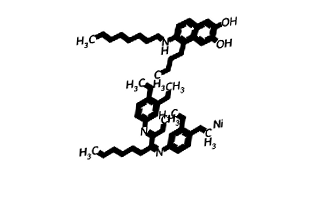 CCCCCCC(=Nc1ccc(CC)c(CC)c1)C(CC)=Nc1ccc(CC)c(CC)c1.CCCCCCCCNc1ccc2cc(O)c(O)cc2c1CCCC.[Ni]